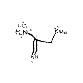 CNCC(=N)N.Cl